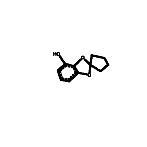 Oc1cccc2c1OC1(CCCC1)O2